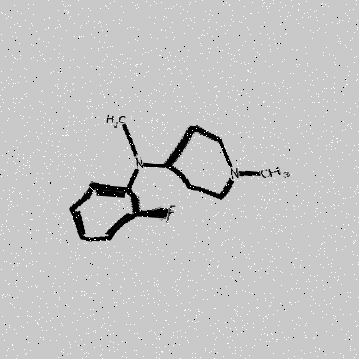 CN1CCC(N(C)c2ccccc2F)CC1